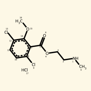 CNCCOC(=O)c1c(Cl)ccc(Cl)c1OC.Cl